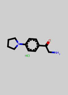 Cl.NCC(=O)c1ccc(N2CCCC2)cc1